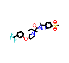 CCC(C)(C(=O)N[C@@H](C)c1ccc(S(C)(=O)=O)cc1)N1CC[C@@H](Oc2cccc(C(F)(F)F)c2)C1